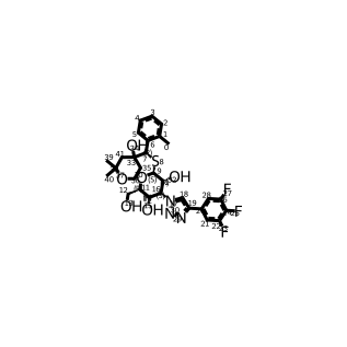 Cc1ccccc1[C@@H](S[C@@H]1O[C@H](CO)[C@H](O)[C@H](n2cc(-c3cc(F)c(F)c(F)c3)nn2)[C@H]1O)C1(O)CCOC(C)(C)C1